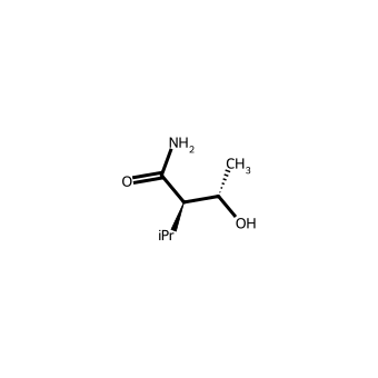 CC(C)[C@@H](C(N)=O)[C@H](C)O